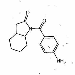 Nc1ccc(C(=O)N2C(=O)CC3CCCCC32)cc1